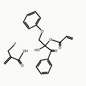 C=C(CF)C(=O)O.C=CC(=O)OC(O)(COc1ccccc1)C(=O)c1ccccc1